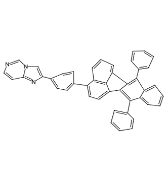 c1ccc(-c2c3c(c(-c4ccccc4)c4ccccc24)-c2ccc(-c4ccc(-c5cn6cnccc6n5)cc4)c4cccc-3c24)cc1